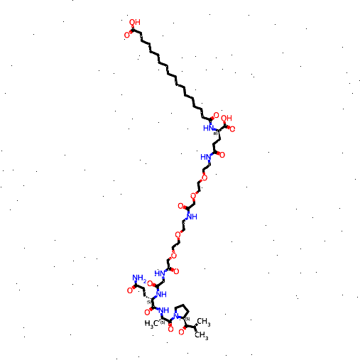 CC(C)C(=O)[C@@H]1CCCN1C(=O)[C@H](C)NC(=O)[C@H](CCC(N)=O)NC(=O)CNC(=O)COCCOCCNC(=O)COCCOCCNC(=O)CC[C@@H](NC(=O)CCCCCCCCCCCCCCCCC(=O)O)C(=O)O